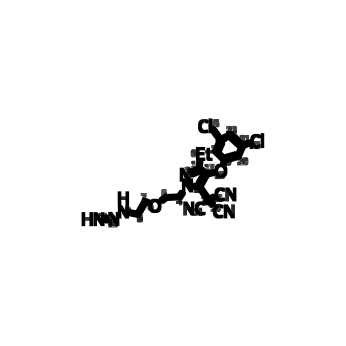 CCc1nn(CCOCCNN=N)c(C(C#N)(C#N)C#N)c1Oc1cc(Cl)cc(Cl)c1